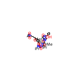 CC[C@H](C)[C@@H]([C@@H](CC(=O)N1CCC[C@H]1[C@H](OC)[C@@H](C)C(=O)N[C@H](C)[C@@H](O)c1ccccc1)OC)N(C)C(=O)[C@@H](NC(=O)[C@H](C(C)C)N(C)C(=O)OCc1ccc(CC(=O)CCCCCN2C(=O)CC(C)C2=O)cc1)C(C)C